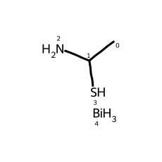 CC(N)S.[BiH3]